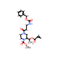 CC(OC(=O)C1CC1)C1CN(C(=O)CCNC(=O)OCc2ccccc2)CCN1C(=O)OC(C)(C)C